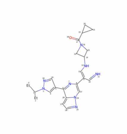 CCC(CC)n1cc(-c2nc(/C(C=N)=C/NC3CN(C(=O)C4CC4)C3)cn3nccc23)cn1